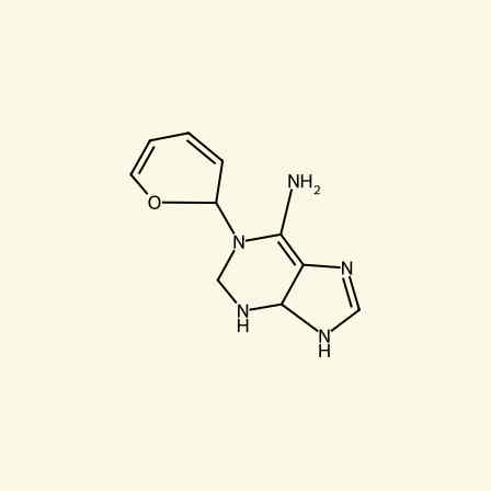 NC1=C2N=CNC2NCN1C1C=CC=CO1